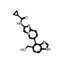 O=C(Nc1cn2cc(-c3c(CO)ccc4[nH]cnc34)ccc2n1)C1CC1